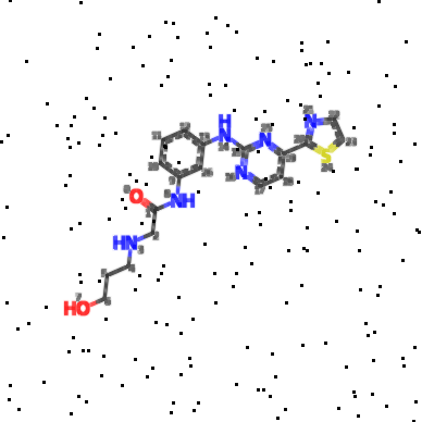 O=C(CNCCCO)Nc1cccc(Nc2nccc(-c3nccs3)n2)c1